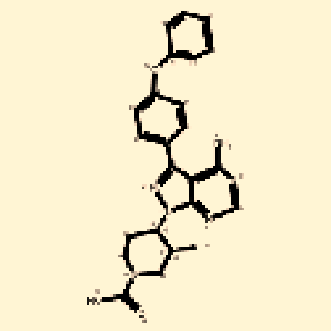 Nc1ncnc2c1c(-c1ccc(Oc3ccccc3)cc1)nn2[C@@H]1CCN(C(=O)O)C[C@@H]1F